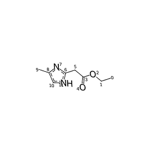 CCOC(=O)Cc1nc(C)c[nH]1